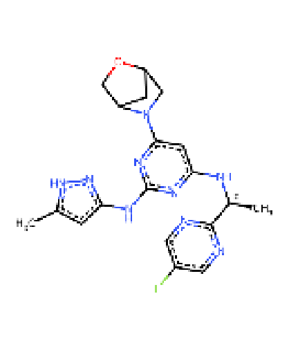 Cc1cc(Nc2nc(N[C@@H](C)c3ncc(F)cn3)cc(N3CC4CC3CO4)n2)n[nH]1